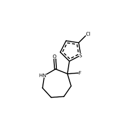 O=C1NCCCCC1(F)c1ccc(Cl)s1